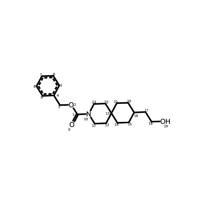 O=C(OCc1ccccc1)N1CCC2(CCC(CCO)CC2)CC1